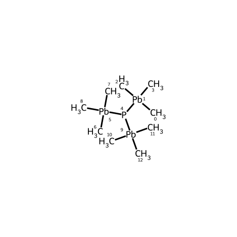 [CH3][Pb]([CH3])([CH3])[P]([Pb]([CH3])([CH3])[CH3])[Pb]([CH3])([CH3])[CH3]